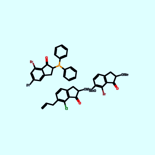 C=CCc1ccc2c(c1Cl)C(=O)C(OC)C2.CC(C)c1cc(Br)c2c(c1)CC(P(c1ccccc1)c1ccccc1)C2=O.COc1ccc2c(c1Br)C(=O)C(OC)C2